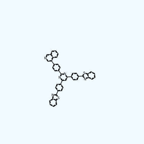 c1ccc2c(-c3ccc(-c4nc(-c5ccc(-c6nc7ccccc7s6)cc5)cc(-c5ccc(-c6nc7ccccc7s6)cc5)n4)cc3)cncc2c1